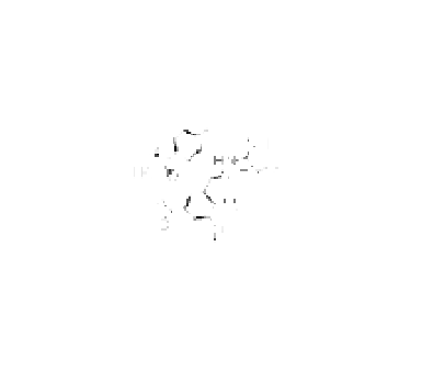 COc1cc([N+](=O)[O-])cc(C=NNC(=N)NO)c1OC.Cc1ccc(S(=O)(=O)O)cc1